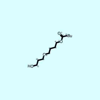 CCC(C)C(=O)OCCCCOCCCO